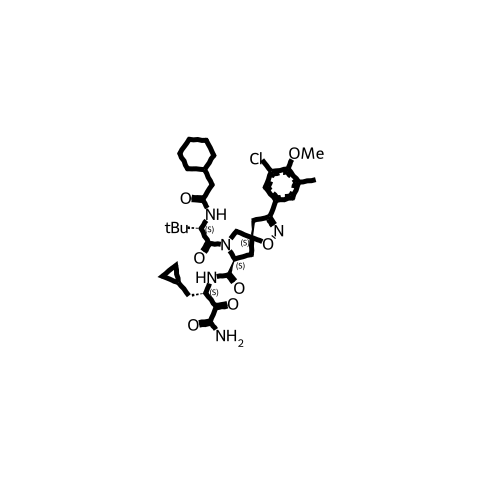 COc1c(C)cc(C2=NO[C@]3(C2)C[C@@H](C(=O)N[C@@H](CC2CC2)C(=O)C(N)=O)N(C(=O)[C@@H](NC(=O)CC2CCCCC2)C(C)(C)C)C3)cc1Cl